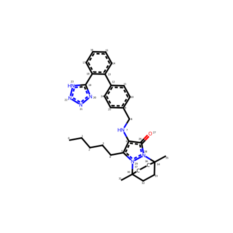 CCCCCc1c(NCc2ccc(-c3ccccc3-c3nnn[nH]3)cc2)c(=O)n2n1C1(C)CCC2(C)CC1